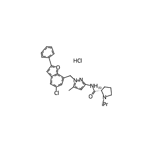 Cc1cc(NC(=O)[C@@H]2CCCN2C(C)C)nn1Cc1cc(Cl)cc2cc(-c3ccccc3)oc12.Cl